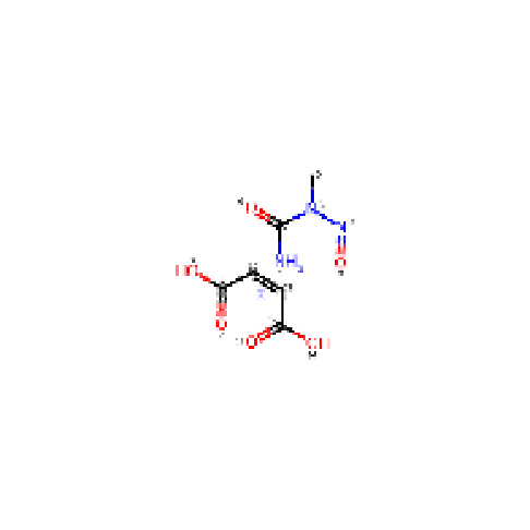 CN(N=O)C(N)=O.O=C(O)/C=C\C(=O)O